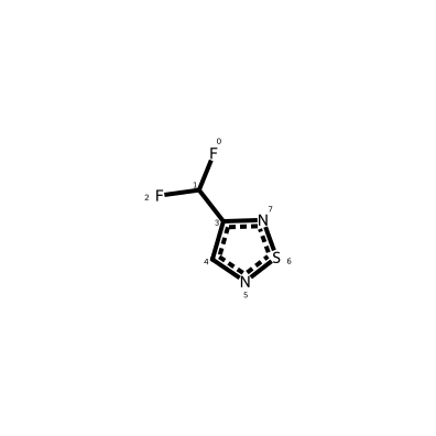 FC(F)c1cnsn1